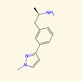 C[C@@H](N)Cc1cccc(-c2ccn(C)n2)c1